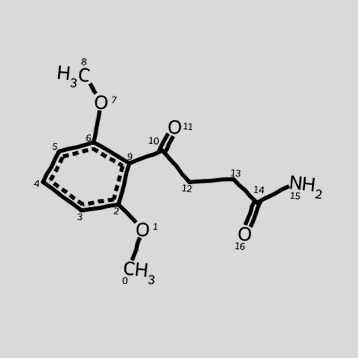 COc1cccc(OC)c1C(=O)CCC(N)=O